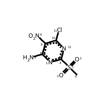 CS(=O)(=O)c1nc(N)c([N+](=O)[O-])c(Cl)n1